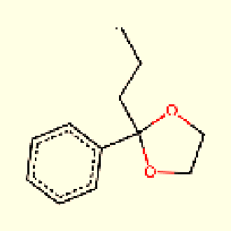 [CH2]CCC1(c2ccccc2)OCCO1